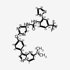 CN(C)c1ccn2ncc(-c3ccc(Oc4ncc(NC(=O)Nc5ccc(C(F)(F)F)cc5-n5cccn5)cn4)cc3)c2n1